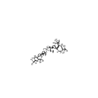 CC(CC(C)OPOc1ccc(C(C)(C)C)cc1C(C)(C)C)OPOc1ccc(C(C)(C)C)cc1C(C)(C)C